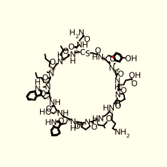 CCCC[C@H]1C(=O)N(C)[C@@H](CCCC)C(=O)N[C@@H](CC(C)C)C(=O)N[C@H](C(=O)NCC(N)=O)CSCC(=O)N[C@@H](Cc2ccc(O)cc2)C(=O)N(C)[C@@H](C)C(=O)N[C@@H](CCC(=O)O)C(=O)N2CCC[C@H]2C(=O)N[C@@H](CCCCN)C(=O)N[C@@H](CC(C)C)C(=O)N2CCC[C@H]2C(=O)N[C@@H](Cc2c[nH]c3ccccc23)C(=O)N[C@@H](CO)C(=O)N[C@@H](Cc2c[nH]c3ccccc23)C(=O)N1C